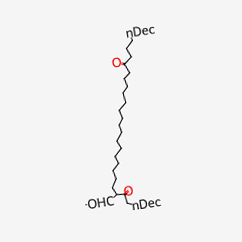 CCCCCCCCCCCCCC(=O)CCCCCCCCCCCCCCCCC([C]=O)C(=O)CCCCCCCCCCC